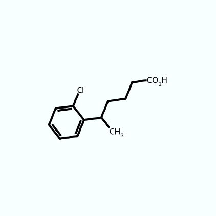 CC(CCCC(=O)O)c1ccccc1Cl